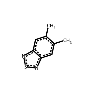 Cc1cc2nsnc2cc1C